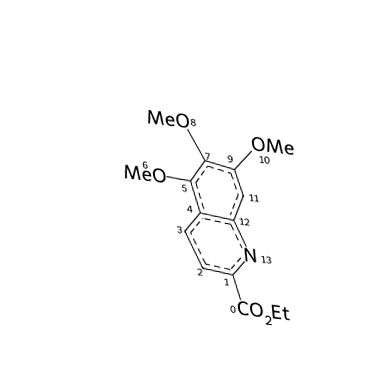 CCOC(=O)c1ccc2c(OC)c(OC)c(OC)cc2n1